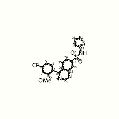 COc1cc(Cl)ccc1-c1ncnc2cc(S(=O)(=O)Nc3ncns3)ccc12